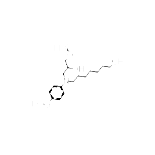 CCCCCCCCN(CC(O)COC)c1ccc(OC)cc1